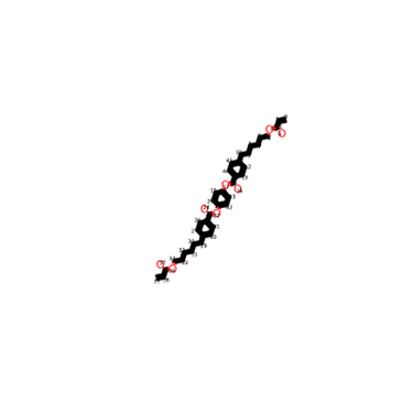 C=CC(=O)OCCCCCCc1ccc(C(=O)Oc2ccc(OC(=O)c3ccc(CCCCCCOC(=O)C=C)cc3)cc2)cc1